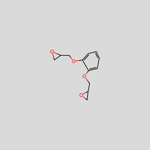 [c]1ccc(OCC2CO2)c(OCC2CO2)c1